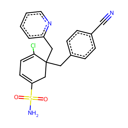 N#Cc1ccc(CC2(Cc3ccccn3)CC(S(N)(=O)=O)=CC=C2Cl)cc1